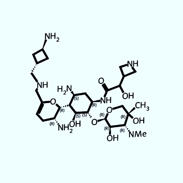 CN[C@@H]1[C@@H](O)[C@@H](O[C@H]2[C@H](NC(=O)C(O)C3CNC3)C[C@H](N)C([C@H]3OC(CNC[C@H]4C[C@H](N)C4)=CC[C@H]3N)[C@@H]2O)OC[C@]1(C)O